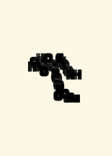 CC(C)(C)OC(=O)N1CCC2(CC1)CCN(c1cccc(C3CCC(=O)NC3=O)c1)CC2.O=C(O)N1CCC2(CCNCC2)CC1